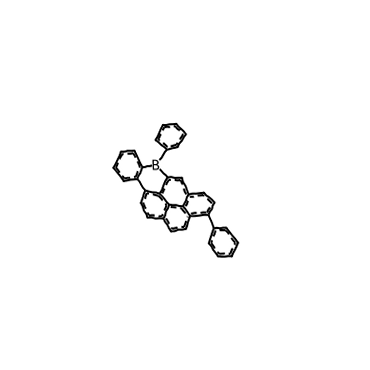 c1ccc(B2c3ccccc3-c3ccc4ccc5c(-c6ccccc6)ccc6cc2c3c4c65)cc1